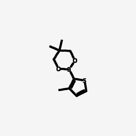 Cc1ccsc1B1OCC(C)(C)CO1